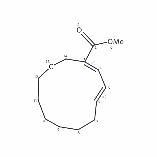 COC(=O)/C1=C/C=C/CCCCCCCC1